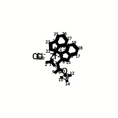 C[C](C)=[Zr+2][C]1(C2C(CC(C)O[Si](C)(C)C)=Cc3ccccc32)C=Cc2ccccc21.[Cl-].[Cl-]